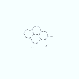 CCC(=O)c1c(Br)cc2ccc3cccc4ccc1c2c34.ClCCl